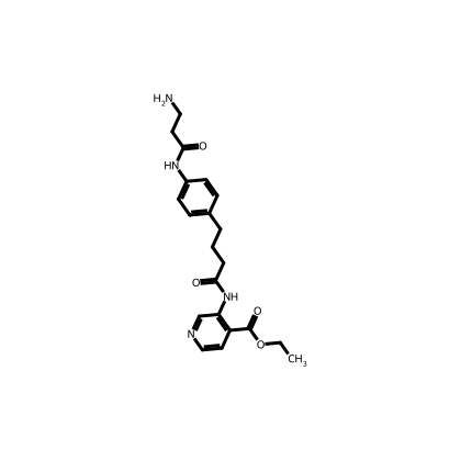 CCOC(=O)c1ccncc1NC(=O)CCCc1ccc(NC(=O)CCN)cc1